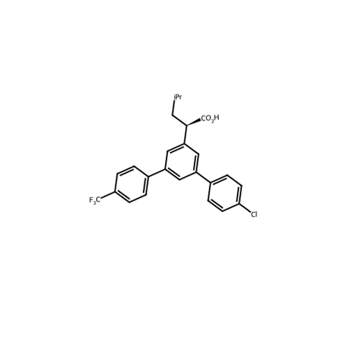 CC(C)C[C@@H](C(=O)O)c1cc(-c2ccc(Cl)cc2)cc(-c2ccc(C(F)(F)F)cc2)c1